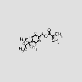 C=C(C)C(=O)OCc1ccc(C(C)(C)CC)cc1